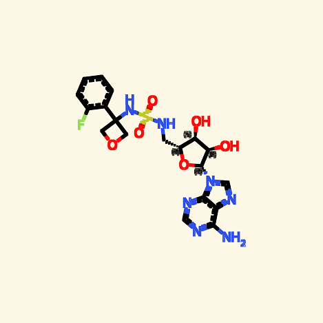 Nc1ncnc2c1ncn2[C@@H]1O[C@H](CNS(=O)(=O)NC2(c3ccccc3F)COC2)[C@@H](O)[C@H]1O